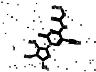 C#Cc1cn([C@@H]2O[C@H](C)[C@@H](OC(C)=O)[C@H]2OC(C)=O)c(=O)nc1NC(=O)OCCCCC